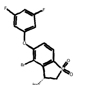 O=S1(=O)C[C@H](O)c2c1ccc(Oc1cc(F)cc(F)c1)c2Br